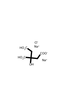 O=C([O-])CC(O)(CC(=O)O)C(=O)O.[Cl-].[Na+].[Na+]